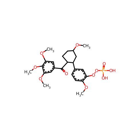 COc1ccc(C2CC(OC)CCC2C(=O)c2cc(OC)c(OC)c(OC)c2)cc1OOP(=O)(O)O